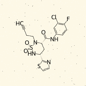 C#CCCN1[C@H](C(=O)Nc2ccc(F)c(Cl)c2)C[C@H](c2nccs2)NS1(=O)=O